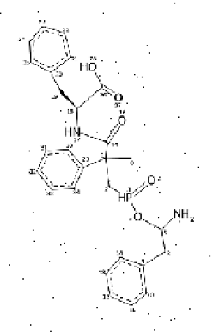 CC(C[PH](=O)OC(N)Cc1ccccc1)(C(=O)N[C@@H](Cc1ccccc1)C(=O)O)c1ccccc1